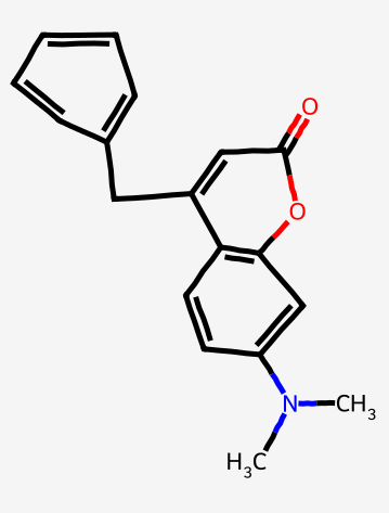 CN(C)c1ccc2c(Cc3ccccc3)cc(=O)oc2c1